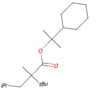 CC(C)CC(C)(C(=O)OC(C)(C)C1CCCCC1)C(C)(C)C